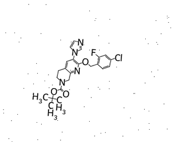 CC(C)(C)OC(=O)N1CCc2cc(-n3ccnc3)c(OCc3ccc(Cl)cc3F)nc2C1